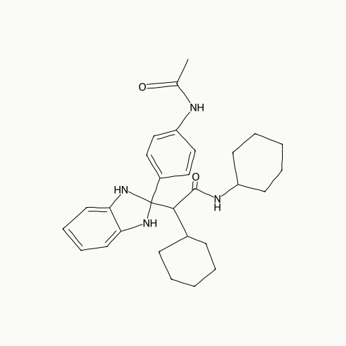 CC(=O)Nc1ccc(C2(C(C(=O)NC3CCCCC3)C3CCCCC3)Nc3ccccc3N2)cc1